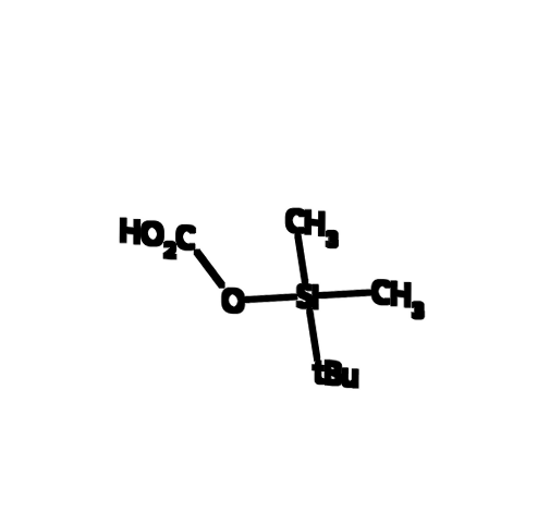 CC(C)(C)[Si](C)(C)OC(=O)O